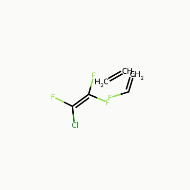 C=C.C=CF.FC(F)=C(F)Cl